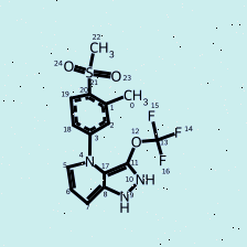 Cc1cc(N2C=CC=C3NNC(OC(F)(F)F)=C32)ccc1S(C)(=O)=O